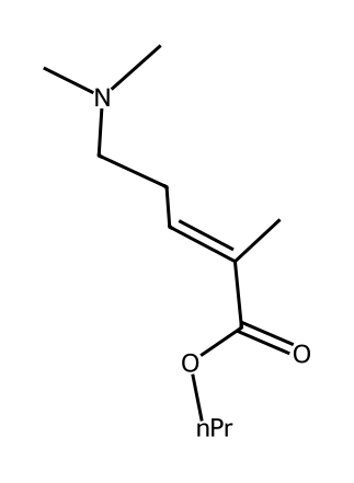 [CH2]CCOC(=O)C(C)=CCCN(C)C